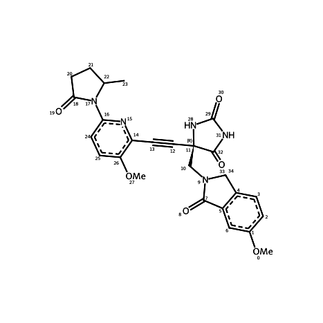 COc1ccc2c(c1)C(=O)N(C[C@@]1(C#Cc3nc(N4C(=O)CCC4C)ccc3OC)NC(=O)NC1=O)C2